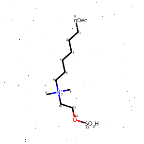 CCCCCCCCCCCCCCCC[N+](C)(C)CCOS(=O)(=O)O